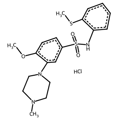 COc1ccc(S(=O)(=O)Nc2ccccc2SC)cc1N1CCN(C)CC1.Cl